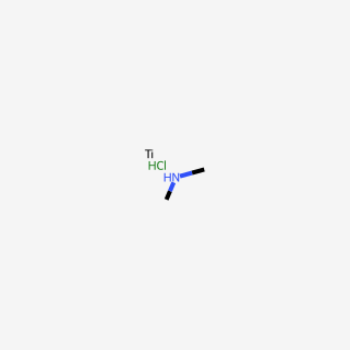 CNC.Cl.[Ti]